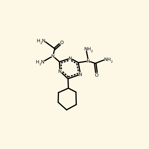 NC(=O)N(N)c1nc(C2CCCCC2)nc(N(N)C(N)=O)n1